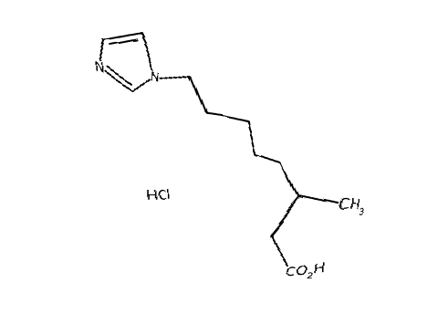 CC(CCCCCn1ccnc1)CC(=O)O.Cl